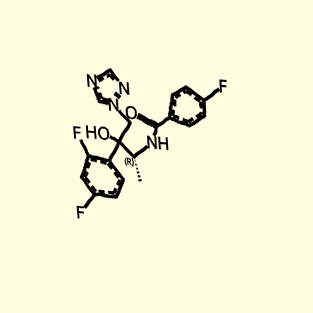 C[C@@H](NC(=O)c1ccc(F)cc1)C(O)(Cn1cncn1)c1ccc(F)cc1F